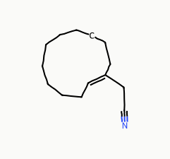 N#CC/C1=C\CCCCCCCCCC1